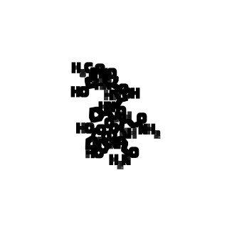 CC(=O)N1C[C@H](O)C[C@H]1C(=O)N[C@@H](CO)C(=O)N[C@@H](CO)C(=O)N[C@H](C(=O)N[C@@H](CCC(N)=O)C(=O)N[C@@H](CCC(N)=O)C(=O)N[C@@H](CO)C(=O)N1CCC[C@H]1C(=O)O)C1CCCCC1